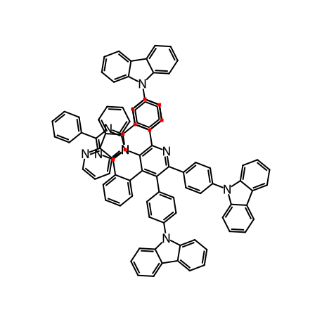 c1ccc(-c2nc(-c3ccccc3)nc(-c3ccccc3-c3c(-c4ccc(-n5c6ccccc6c6ccccc65)cc4)c(-c4ccc(-n5c6ccccc6c6ccccc65)cc4)nc(-c4ccc(-n5c6ccccc6c6ccccc65)cc4)c3-n3c4ccccc4c4ncccc43)n2)cc1